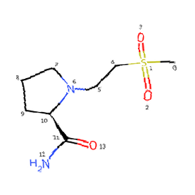 CS(=O)(=O)CCN1CCC[C@@H]1C(N)=O